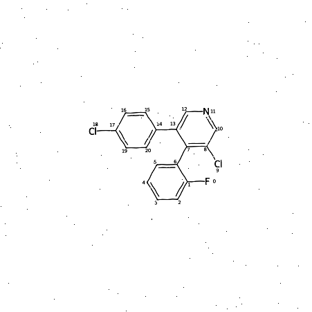 Fc1ccccc1-c1c(Cl)[c]ncc1-c1ccc(Cl)cc1